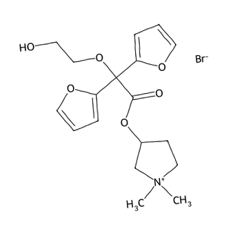 C[N+]1(C)CCC(OC(=O)C(OCCO)(c2ccco2)c2ccco2)C1.[Br-]